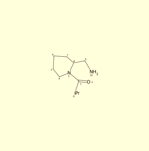 CC(C)C(=O)N1CCCCC1CN